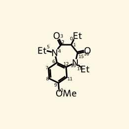 CCC1C(=O)N(CC)c2ccc(OC)cc2N(CC)C1=O